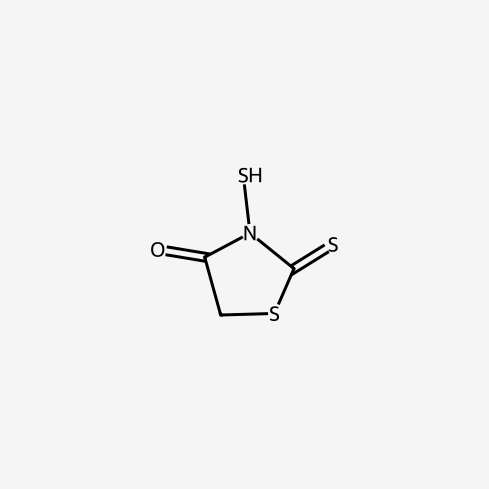 O=C1CSC(=S)N1S